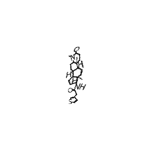 CN1C(=O)CC[C@@]2(C)C1CC[C@@H]1[C@H]2CC[C@]2(C)C(NC(=O)Cc3ccsc3)CC[C@@H]12